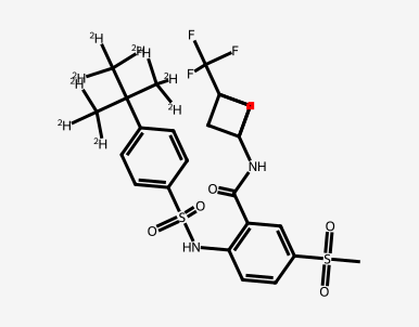 [2H]C([2H])([2H])C(c1ccc(S(=O)(=O)Nc2ccc(S(C)(=O)=O)cc2C(=O)NC23CC(C(F)(F)F)(C2)C3)cc1)(C([2H])([2H])[2H])C([2H])([2H])[2H]